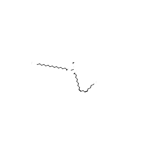 CCCCC/C=C\C/C=C\CCCCCCCC(=O)O[C@@H](COC(C)=O)COC(=O)CCCCCCCCCCCCCCC